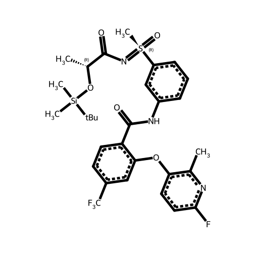 Cc1nc(F)ccc1Oc1cc(C(F)(F)F)ccc1C(=O)Nc1cccc([S@@](C)(=O)=NC(=O)[C@@H](C)O[Si](C)(C)C(C)(C)C)c1